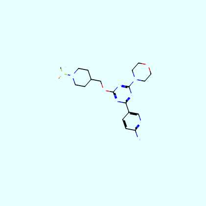 C[S+]([O-])N1CCC(COc2nc(-c3ccc(N)nc3)nc(N3CCOCC3)n2)CC1